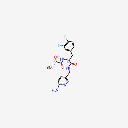 CCCC[C@H](O)C(=O)N[C@@H](Cc1ccc(F)c(F)c1)C(=O)NCc1ccc(N)nc1